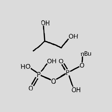 CC(O)CO.CCCCOP(=O)(O)OP(=O)(O)O